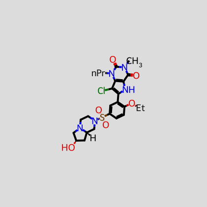 CCCn1c(=O)n(C)c(=O)c2[nH]c(-c3cc(S(=O)(=O)N4CCN5C[C@H](O)C[C@H]5C4)ccc3OCC)c(Cl)c21